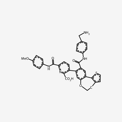 COc1ccc(NC(=O)c2ccc(-c3cc4c(cc3C(=O)Nc3ccc(CN)cc3)-c3sccc3CCO4)c(C(=O)O)n2)cc1